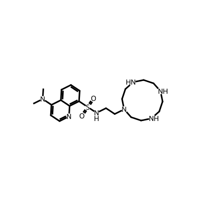 CN(C)c1ccnc2c(S(=O)(=O)NCCN3CCNCCNCCNCC3)cccc12